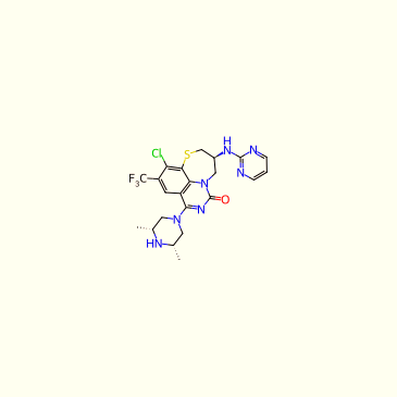 C[C@@H]1CN(c2nc(=O)n3c4c(c(Cl)c(C(F)(F)F)cc24)SC[C@@H](Nc2ncccn2)C3)C[C@H](C)N1